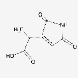 CC(C(=O)O)C1=CC(=O)NC1=O